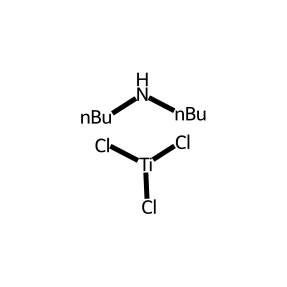 CCCCNCCCC.[Cl][Ti]([Cl])[Cl]